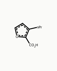 C[CH]Cc1ccoc1C(=O)O